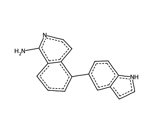 Nc1nccc2c(-c3ccc4[nH]ccc4c3)cccc12